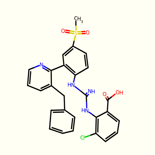 CS(=O)(=O)c1ccc(NC(=N)Nc2c(Cl)cccc2C(=O)O)c(-c2ncccc2Cc2ccccc2)c1